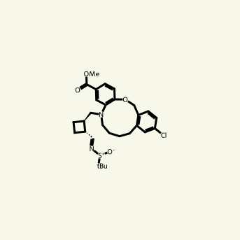 COC(=O)c1ccc2c(c1)N(C[C@@H]1CC[C@H]1/C=N/[S+]([O-])C(C)(C)C)CCCCc1cc(Cl)ccc1CO2